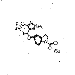 CC(C)CC(Oc1ccc2c(c1)CCN2C(=O)OC(C)(C)C)c1c[nH]nc1C(F)(F)F